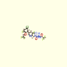 C[C@@H](NC(=O)NNC(=O)C(F)F)c1ncc(-c2cc(Cl)cc(F)c2OCC(F)F)cc1F